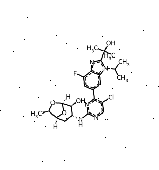 CC(C)n1c(C(C)(C)O)nc2c(F)cc(-c3nc(N[C@@H]4C[C@@H]5O[C@@H](O[C@@H]5C)[C@H]4O)ncc3Cl)cc21